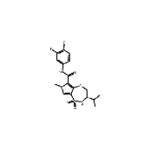 CC(C)[C@@H]1COc2c(cn(C)c2C(=O)Nc2ccc(F)c(F)c2)S(=O)(=O)N1